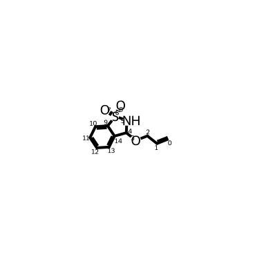 C=CCOC1NS(=O)(=O)c2ccccc21